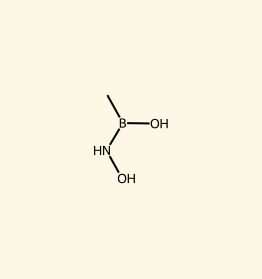 CB(O)NO